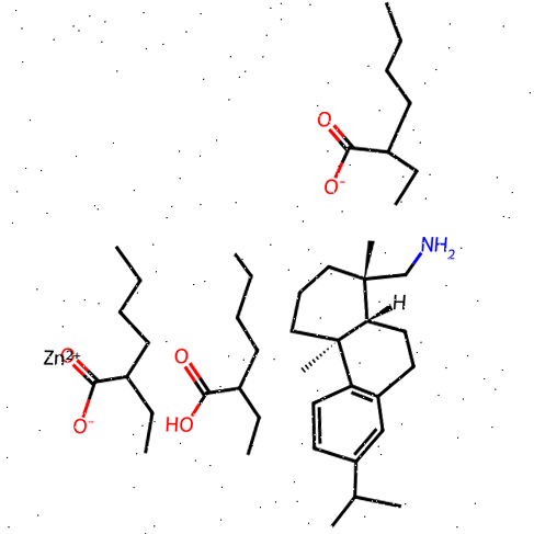 CC(C)c1ccc2c(c1)CC[C@H]1[C@@](C)(CN)CCC[C@]21C.CCCCC(CC)C(=O)O.CCCCC(CC)C(=O)[O-].CCCCC(CC)C(=O)[O-].[Zn+2]